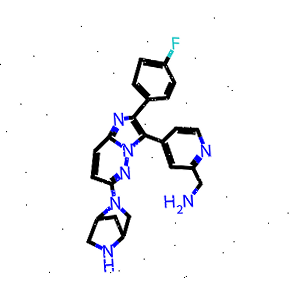 NCc1cc(-c2c(-c3ccc(F)cc3)nc3ccc(N4CC5CC4CN5)nn23)ccn1